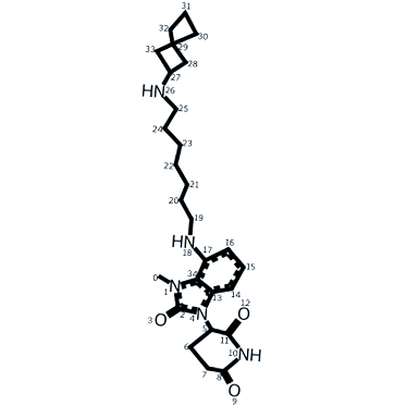 Cn1c(=O)n(C2CCC(=O)NC2=O)c2cccc(NCCCCCCCNC3CC4(CCC4)C3)c21